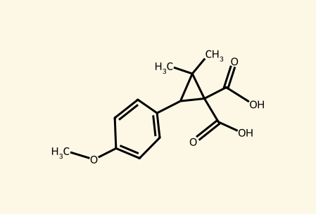 COc1ccc(C2C(C)(C)C2(C(=O)O)C(=O)O)cc1